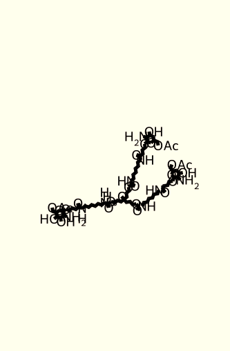 CC(=O)OCC1CC(O)C(N)C(OCCCC(=O)NCCCCCCNC(=O)OCCCC(C)(CCCOC(=O)NCCCCCCNC(=O)CCCOC2OC(COC(C)=O)CC(O)C2N)CCCOC(=O)NCCCCCCNC(=O)CCCOC2OC(COC(C)=O)C(O)C(O)C2N)O1